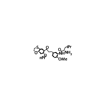 CCCOc1cc2c(cc1C(=O)CCc1ccc(OC)c(NC(=O)[C@@H](N)CC(C)C)c1)SCCO2